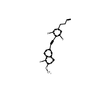 C=CCCc1cc(F)c(C#Cc2ccc3c(F)c(OC(F)(F)F)ccc3c2)c(F)c1